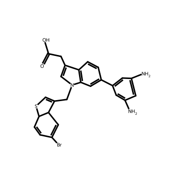 Nc1cc(N)cc(-c2ccc3c(CC(=O)O)cn(CC4=CSC5C=CC(Br)=CC45)c3c2)c1